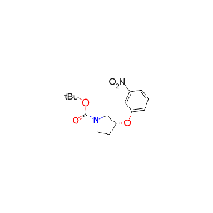 CC(C)(C)OC(=O)N1CC[C@@H](Oc2cccc([N+](=O)[O-])c2)C1